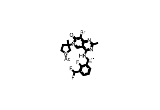 CC(=O)N1CCC(C)(n2cc3c(N[C@H](C)c4cccc(C(F)F)c4F)nc(C)nc3c(Br)c2=O)C1